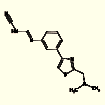 CN(C)Cc1nc(-c2cccc(N=CNC#N)c2)cs1